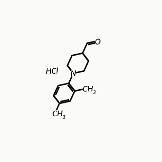 Cc1ccc(N2CCC(C=O)CC2)c(C)c1.Cl